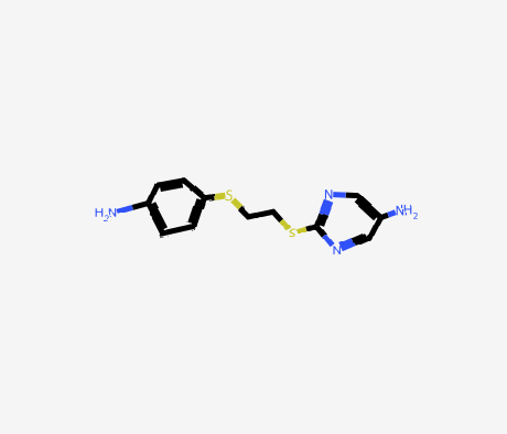 Nc1ccc(SCCSc2ncc(N)cn2)cc1